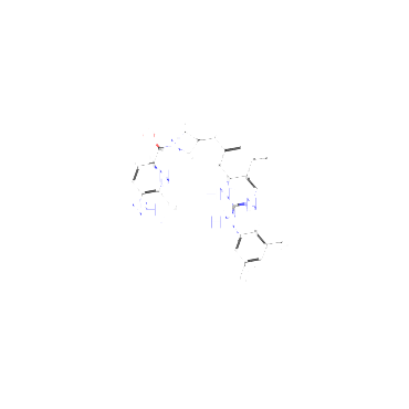 C=C(CC1CN(C(=O)c2ccc(N)c(C)n2)C1)CC1NC(Nc2cc(C)cc(C)c2)=NC=C1CC